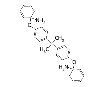 CC(C)(c1ccc(OC2(N)C=CC=CC2)cc1)c1ccc(OC2(N)C=CC=CC2)cc1